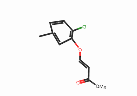 COC(=O)/C=C/Oc1cc(C)ccc1Cl